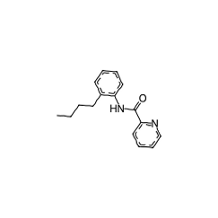 CCCCc1ccccc1NC(=O)c1ccccn1